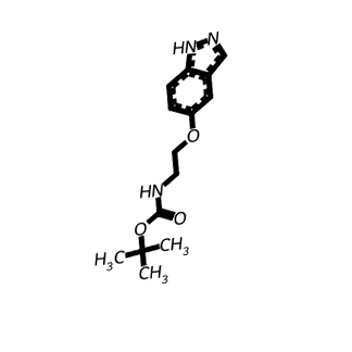 CC(C)(C)OC(=O)NCCOc1ccc2[nH]ncc2c1